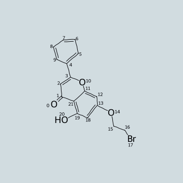 O=c1cc(-c2ccccc2)oc2cc(OCCBr)cc(O)c12